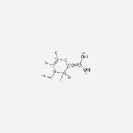 CCC1C(C)=C(C)CCC1(C)C.O=C(O)O